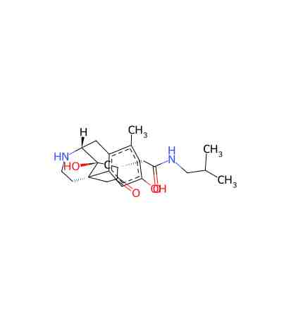 Cc1cc(O)cc2c1C[C@H]1NCC[C@@]23CC(=O)[C@@H](CC(=O)NCC(C)C)C[C@@]13O